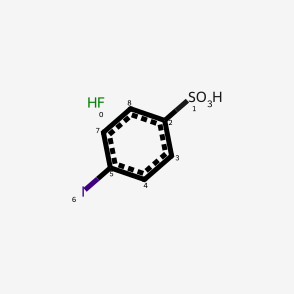 F.O=S(=O)(O)c1ccc(I)cc1